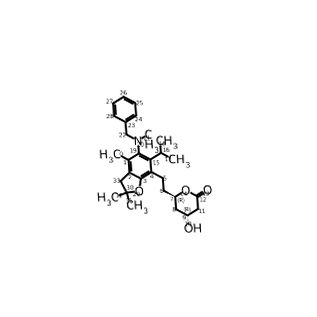 Cc1c2c(c(CC[C@@H]3C[C@@H](O)CC(=O)O3)c(C(C)C)c1N(C)Cc1ccccc1)OC(C)(C)C2